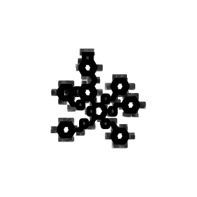 Cc1cc(Cc2ccc3c(c2)CC3)cc([C@@H]2O[C@H](COCc3ccccc3)[C@@H](OCc3ccccc3)[C@H](OCc3ccccc3)[C@H]2OCc2ccccc2)c1OCc1ccccc1